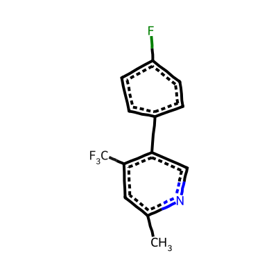 Cc1cc(C(F)(F)F)c(-c2ccc(F)cc2)cn1